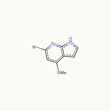 COc1cc(Br)nc2[nH]ccc12